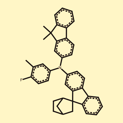 Cc1cc(N(c2ccc3c(c2)C(C)(C)c2ccccc2-3)c2ccc3c(c2)C2(CC4CCC2C4)c2ccccc2-3)ccc1F